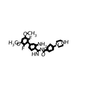 COc1cc(OC)c(F)c(-c2ccc(C(=N)NC(=O)c3ccc(N4CCNCC4)cc3)c(N)c2)c1F